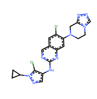 Clc1cc2cnc(Nc3cnn(C4CC4)c3Cl)nc2cc1N1CCn2cnnc2C1